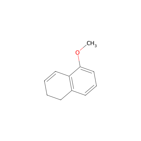 COc1cccc2c1C=CCC2